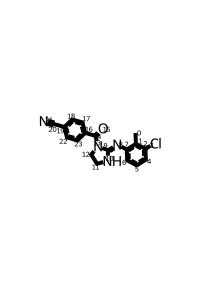 Cc1c(Cl)cccc1N=C1NCCN1C(=O)c1ccc(C#N)cc1